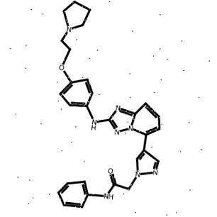 O=C(Cn1cc(-c2cccc3nc(Nc4ccc(OCCN5CCCC5)cc4)nn23)cn1)Nc1ccccc1